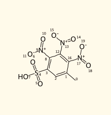 Cc1cc(S(=O)(=O)O)c([N+](=O)[O-])c([N+](=O)[O-])c1[N+](=O)[O-]